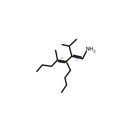 CCCCC(/C(=C/N)C(C)C)=C(/C)CCC